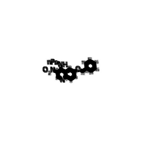 CCCNc1c([N+](=O)[O-])cnc2ccc(OCc3ccccc3)cc12